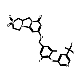 O=c1nc(OCc2cc(F)c(Oc3cncc(C(F)(F)F)c3)c(F)c2)cc2n1CC1CS(=O)(=O)CCN21